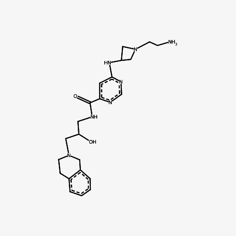 NCCN1CC(Nc2cc(C(=O)NCC(O)CN3CCc4ccccc4C3)ncn2)C1